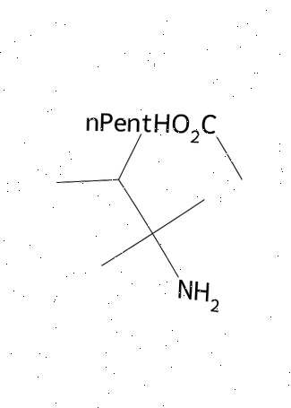 CC(=O)O.CCCCCC(C)C(C)(C)N